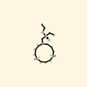 CCOP(=O)([CH]N1CCCNCCCNCCC1)CC